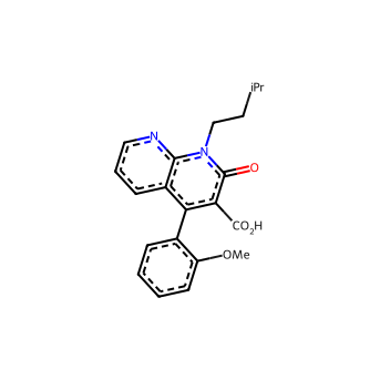 COc1ccccc1-c1c(C(=O)O)c(=O)n(CCC(C)C)c2ncccc12